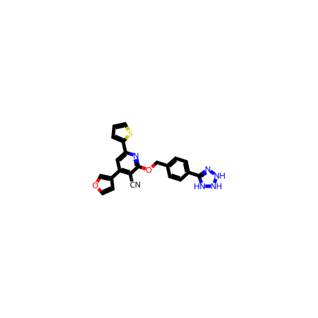 N#Cc1c(-c2ccoc2)cc(-c2cccs2)nc1OCc1ccc(C2=NNNN2)cc1